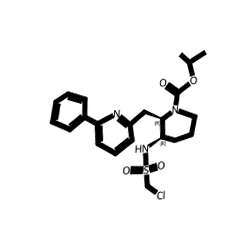 CC(C)OC(=O)N1CCC[C@@H](NS(=O)(=O)CCl)[C@H]1Cc1cccc(-c2ccccc2)n1